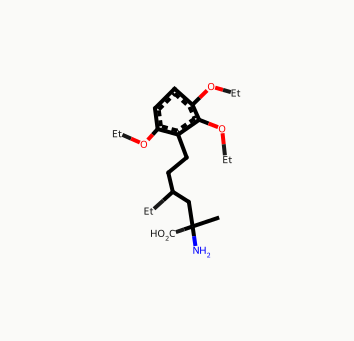 CCOc1ccc(OCC)c(OCC)c1CCC(CC)CC(C)(N)C(=O)O